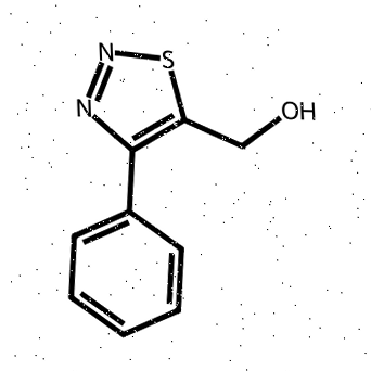 OCc1snnc1-c1ccccc1